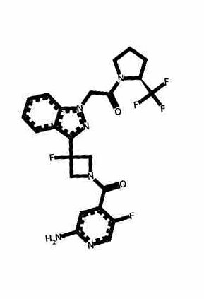 Nc1cc(C(=O)N2CC(F)(c3nn(CC(=O)N4CCC[C@H]4C(F)(F)F)c4ccccc34)C2)c(F)cn1